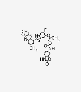 COc1cnc2c(-c3nc4cc(F)c(O[C@@H](C)COC(=O)Nc5ccc6[nH]c(=O)oc6c5)cc4s3)cc(C)cc2n1